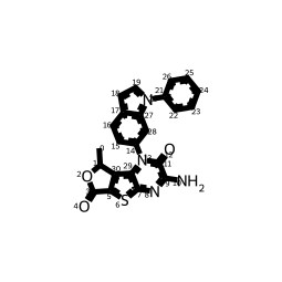 CC1OC(=O)c2sc3nc(N)c(=O)n(-c4ccc5ccn(-c6ccccc6)c5c4)c3c21